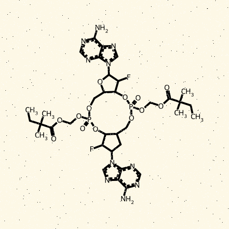 CCC(C)(C)C(=O)OCOP1(=O)OCC2OC(n3cnc4c(N)ncnc43)C(F)C2OP(=O)(OCOC(=O)C(C)(C)CC)OCC2CC(n3cnc4c(N)ncnc43)C(F)C2O1